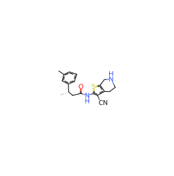 Cc1cccc([C@@H](C)CC(=O)Nc2sc3c(c2C#N)CCNC3)c1